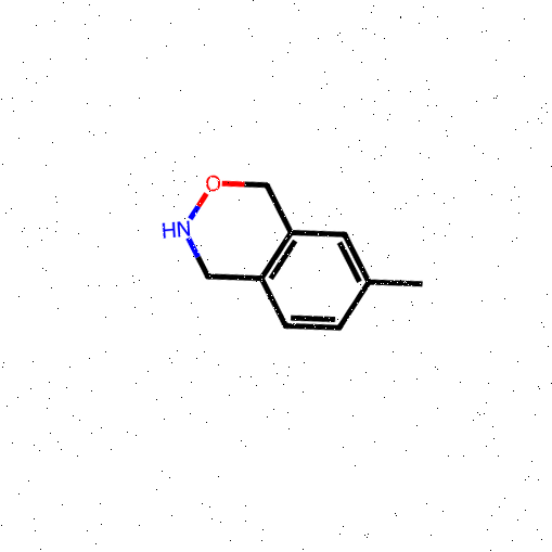 Cc1ccc2c(c1)CONC2